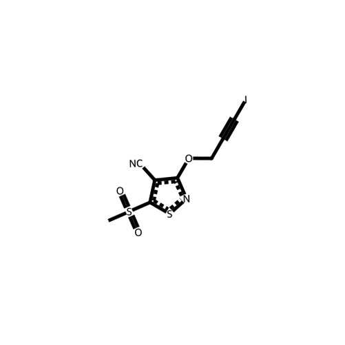 CS(=O)(=O)c1snc(OCC#CI)c1C#N